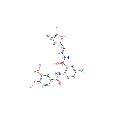 COc1ccc(C(=O)Nc2ccc(Br)cc2C(=O)NN=Cc2cc(C)c(C)o2)cc1OC